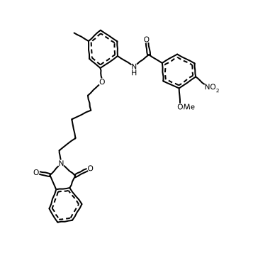 COc1cc(C(=O)Nc2ccc(C)cc2OCCCCCN2C(=O)c3ccccc3C2=O)ccc1[N+](=O)[O-]